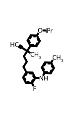 C#CC(C)(CCCc1ccc(F)c(Nc2ccc(C)cc2)c1)c1ccc(OC(C)C)cc1